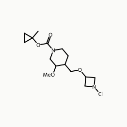 COC1CN(C(=O)OC2(C)CC2)CCC1COC1CN(Cl)C1